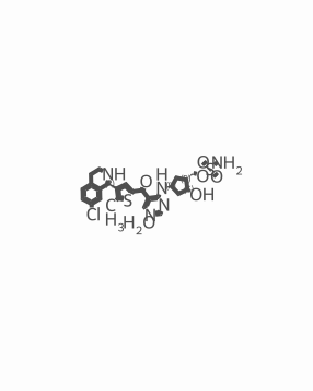 Cc1sc(C(=O)c2cncnc2N[C@@H]2C[C@H](COS(N)(=O)=O)[C@@H](O)C2)cc1[C@@H]1NCCc2ccc(Cl)cc21.O